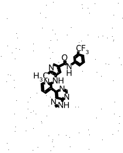 Cc1ncc(C(=O)Nc2cccc(C(F)(F)F)c2)cc1Nc1ncccc1-c1ncnc2[nH]cnc12